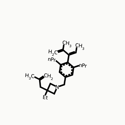 C=C(C)CC1(CC)CN(Cc2cc(CCC)c(/C(=C/C)C(=C)C)c(CCC)c2)C1